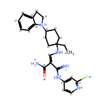 CCC1(N/C=C(\C(=N)Nc2ccnc(F)c2)C(N)=O)CCC(N2CCc3ccccc32)CC1